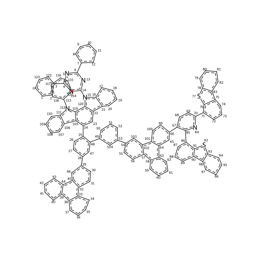 c1ccc(-c2nc(-c3ccccc3)nc(-n3c4ccccc4c4cc(-c5ccc(-c6ccc7c8ccccc8c8ccccc8c7c6)cc5-c5cccc(-c6ccc7c8ccccc8c8cc(-c9ccc(-c%10cccc%11c%10sc%10ccccc%10%11)nc9-c9cccc%10c9sc9ccccc9%10)ccc8c7c6)c5)c5c6ccccc6n(-c6ccccc6)c5c43)n2)cc1